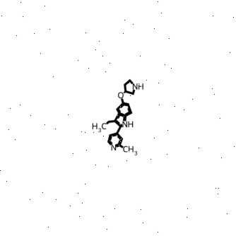 CCc1c(-c2ccnc(C)c2)[nH]c2ccc(O[C@H]3CCNC3)cc12